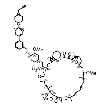 C#CCN1CCN(c2ncc(-c3cccc(CO[C@@H]4CC[C@@H](C[C@@H](N)[C@@H]5CC(=O)[C@H](C)/C=C(\C)[C@@H](O)[C@@H](OC)C(=O)[C@H](C)C[C@H](C)/C=C/C=C/C=C(\C)[C@@H](OC)C[C@@H]6CC[C@@H](C)[C@@](O)(O6)C(=O)C(=O)N6CCCC[C@H]6C(=O)O5)C[C@H]4OC)c3)cn2)CC1